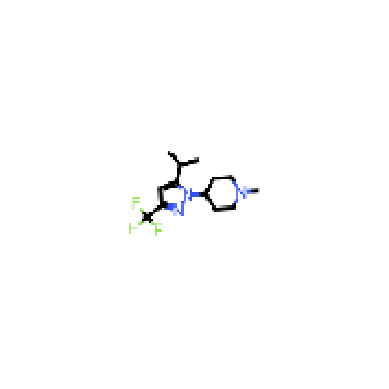 CC(C)c1cc(C(F)(F)F)nn1C1CCN(C)CC1